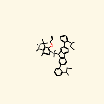 C=CCOc1c([Si](C)(C)C2c3cc(-c4ccccc4C(C)CC)ccc3-c3ccc(-c4ccccc4C(C)CC)cc32)cc(C)c([SiH](C)C)c1C(C)(C)C